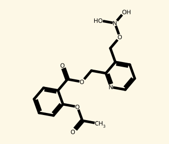 CC(=O)Oc1ccccc1C(=O)OCc1ncccc1CON(O)O